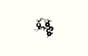 CC(C)(C)OC(=O)N1CCc2c(C(F)(F)F)nn(CC(=O)NC(Cc3cc(F)cc(F)c3)c3ncccc3-c3ccc(F)c(C(N)=O)c3)c2C1